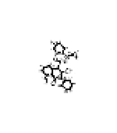 Cc1c(C(=O)N[C@H](c2ccc(F)cc2)C2CC2)c2cccc(Cl)c2c(=O)n1-c1ccccc1